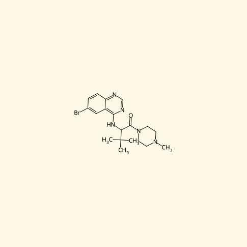 CN1CCN(C(=O)C(Nc2ncnc3ccc(Br)cc23)C(C)(C)C)CC1